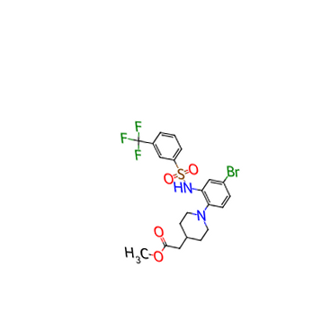 COC(=O)CC1CCN(c2ccc(Br)cc2NS(=O)(=O)c2cccc(C(F)(F)F)c2)CC1